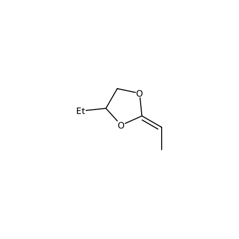 CC=C1OCC(CC)O1